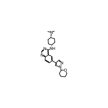 CN(C)[C@H]1CC[C@H](Nc2ncnc3ccc(-c4cnn(C5CCCCO5)c4)cc23)CC1